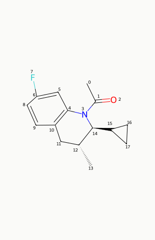 CC(=O)N1c2cc(F)ccc2C[C@@H](C)[C@@H]1C1CC1